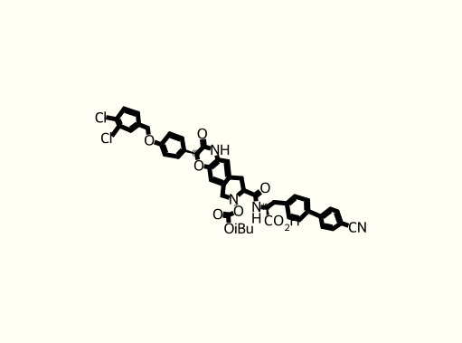 CC(C)COC(=O)ON1Cc2cc3c(cc2CC1C(=O)N[C@@H](Cc1ccc(-c2ccc(C#N)cc2)cc1)C(=O)O)NC(=O)[C@H](c1ccc(OCc2ccc(Cl)c(Cl)c2)cc1)O3